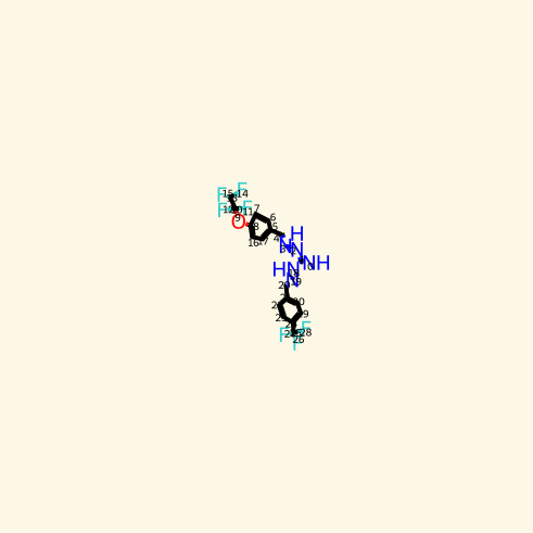 N=C(NN=Cc1ccc(OC(F)(F)C(F)F)cc1)NN=Cc1ccc(C(F)(F)F)cc1